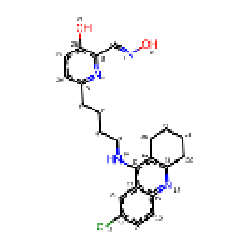 ON=Cc1nc(CCCCNc2c3c(nc4ccc(Cl)cc24)CCCC3)ccc1O